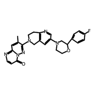 Cc1cc2nccc(=O)n2nc1N1CCc2ncc(N3CCOC(c4ccc(F)cc4)C3)cc2C1